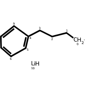 [CH2]CCCc1ccccc1.[LiH]